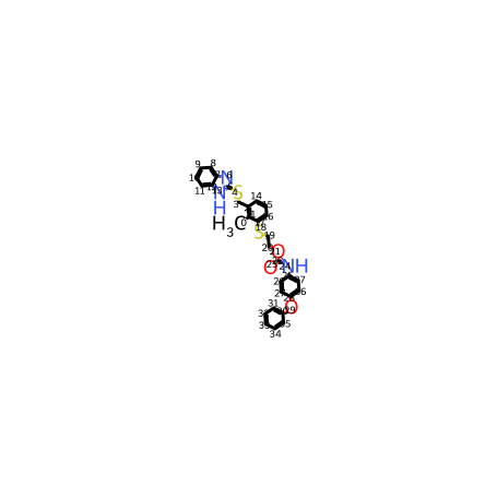 Cc1c(CSc2nc3ccccc3[nH]2)cccc1SCCOC(=O)Nc1ccc(Oc2ccccc2)cc1